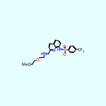 COCCOCCNCc1ccc2cccc(NS(=O)(=O)c3ccc(C(F)(F)F)cc3)c2n1